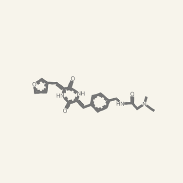 CN(C)CC(=O)NCc1ccc(/C=c2\[nH]c(=O)/c(=C/c3ccoc3)[nH]c2=O)cc1